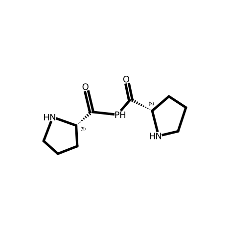 O=C(PC(=O)[C@@H]1CCCN1)[C@@H]1CCCN1